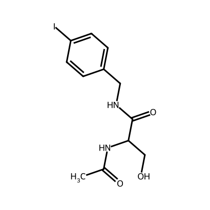 CC(=O)NC(CO)C(=O)NCc1ccc(I)cc1